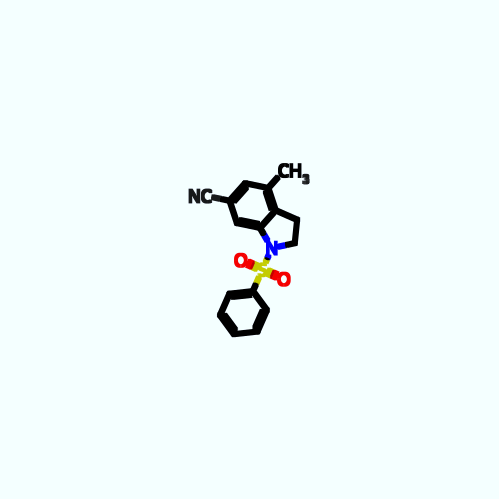 Cc1cc(C#N)cc2c1CCN2S(=O)(=O)c1ccccc1